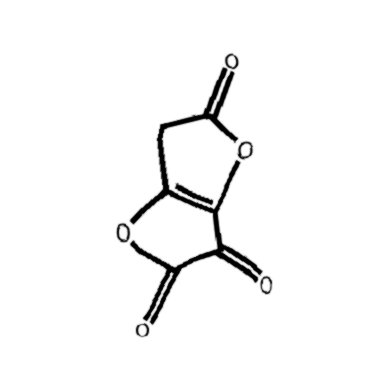 O=C1CC2=C(O1)C(=O)C(=O)O2